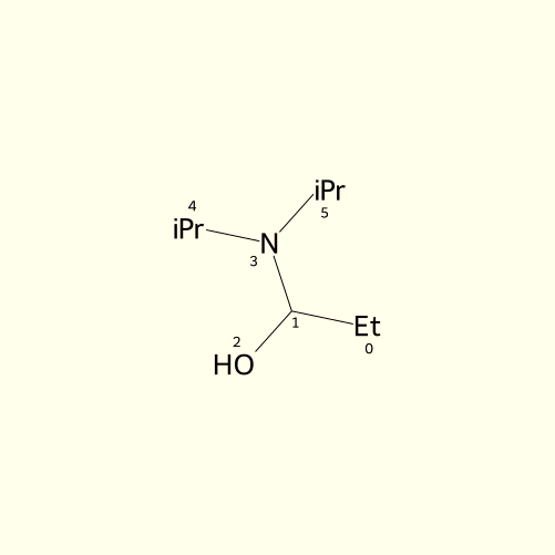 CCC(O)N(C(C)C)C(C)C